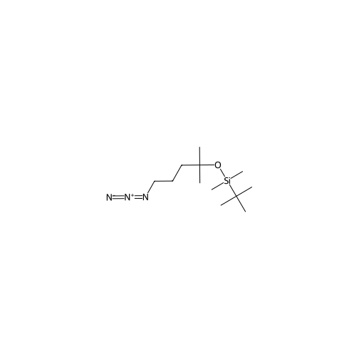 CC(C)(CCCN=[N+]=[N-])O[Si](C)(C)C(C)(C)C